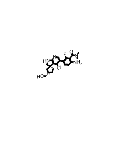 CN(C)C(=O)c1c(N)ccc(-c2cnc3c(c2Cl)[C@]2(CC[C@H](CO)C2)CN3)c1F